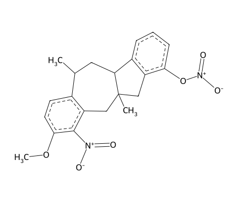 COc1ccc2c(c1[N+](=O)[O-])CC1(C)Cc3c(O[N+](=O)[O-])cccc3C1CC2C